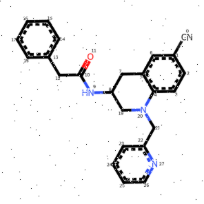 N#Cc1ccc2c(c1)CC(NC(=O)Cc1ccccc1)CN2Cc1ccccn1